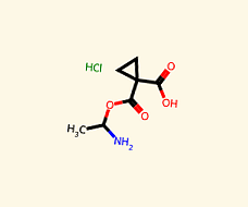 CC(N)OC(=O)C1(C(=O)O)CC1.Cl